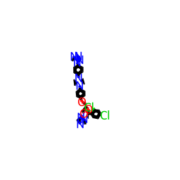 Clc1ccc([C@]2(Cn3cncn3)OC[C@@H](COc3ccc(N4CCN(c5ccc(-n6cnnn6)cc5)CC4)cc3)O2)c(Cl)c1